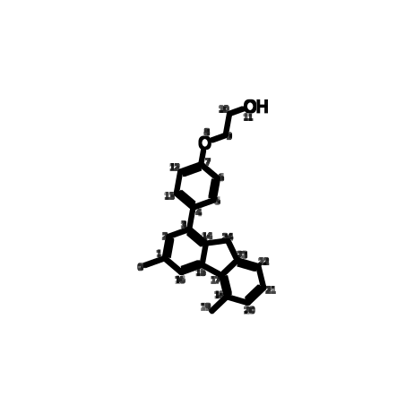 Cc1cc(-c2ccc(OCCO)cc2)c2c(c1)-c1c(C)cccc1C2